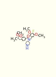 CCOc1cc(CN(C(=O)c2ccc(CC(C)C(=O)OC)cc2)C2CCNCC2)cc(OCC)c1F